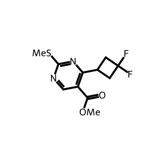 COC(=O)c1cnc(SC)nc1C1CC(F)(F)C1